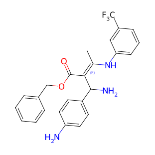 C/C(Nc1cccc(C(F)(F)F)c1)=C(\C(=O)OCc1ccccc1)C(N)c1ccc(N)cc1